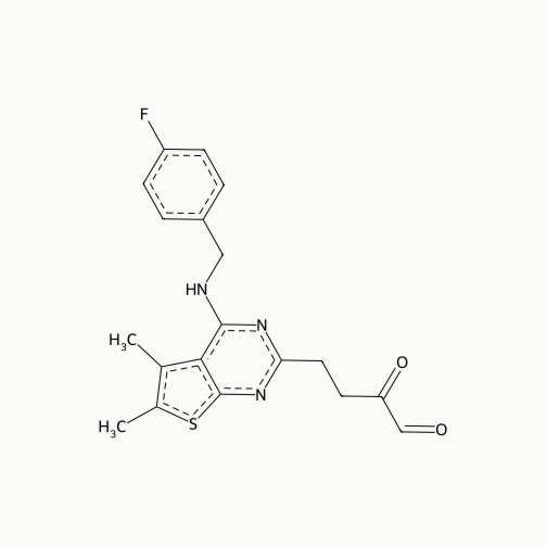 Cc1sc2nc(CCC(=O)C=O)nc(NCc3ccc(F)cc3)c2c1C